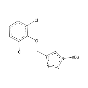 [CH2]CCCn1cc(COc2c(Cl)cccc2Cl)nn1